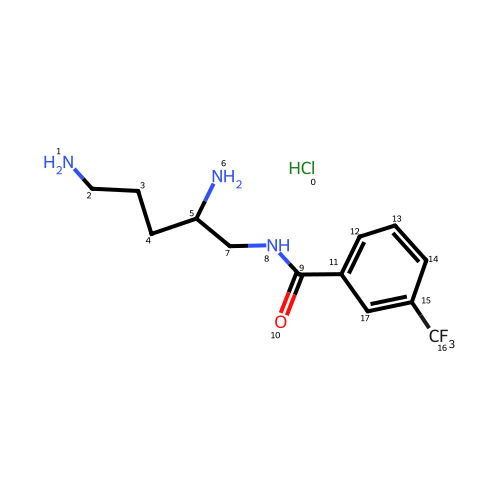 Cl.NCCCC(N)CNC(=O)c1cccc(C(F)(F)F)c1